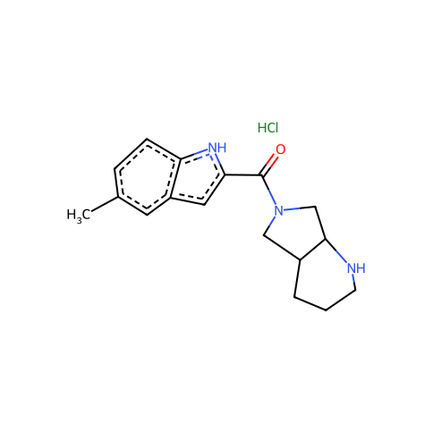 Cc1ccc2[nH]c(C(=O)N3CC4CCCNC4C3)cc2c1.Cl